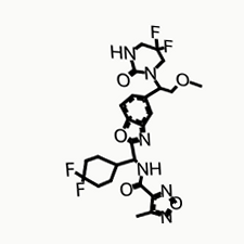 COCC(c1ccc2oc(C(NC(=O)c3nonc3C)C3CCC(F)(F)CC3)nc2c1)N1CC(F)(F)CNC1=O